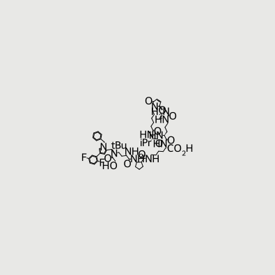 CC(C)[C@H](NC(=O)CCCCCN1C(=O)C=CC1=O)C(=O)N[C@@H](CCCNC(N)=O)C(=O)N[C@@H](CCCCNC(=O)C1CCC[C@@H]1NC(=O)[C@@H](N)CCN(C(=O)CO)[C@@H](c1cc(-c2cc(F)ccc2F)cn1Cc1ccccc1)C(C)(C)C)C(=O)O